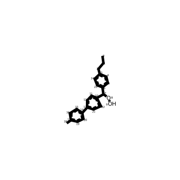 CCCc1ccc(C(OO)c2ccc(-c3ccc(C)cc3)cc2)cc1